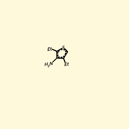 CCc1csc(CC)c1N